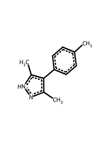 Cc1ccc(-c2c(C)n[nH]c2C)cc1